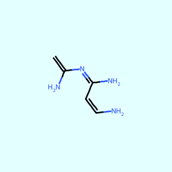 C=C(N)/N=C(N)\C=C/N